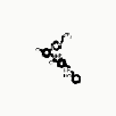 O=C(Nc1ccc(Cl)cc1N1CCN(CCC(F)(F)F)CC1)c1ccc(CNCC2(O)CCCCC2)cc1F